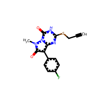 C#CCSc1nc2c(-c3ccc(F)cc3)c(=O)n(C)n2c(=O)[nH]1